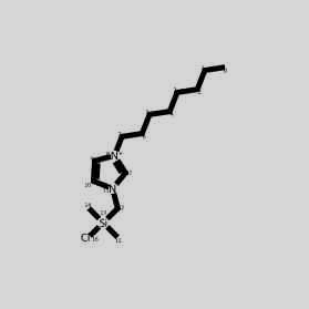 CCCCCCCC[n+]1ccn(C[Si](C)(C)Cl)c1